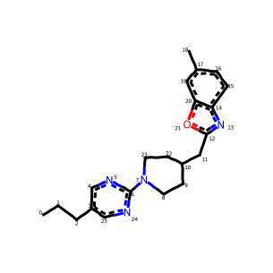 CCCc1cnc(N2CCC(Cc3nc4ccc(C)cc4o3)CC2)nc1